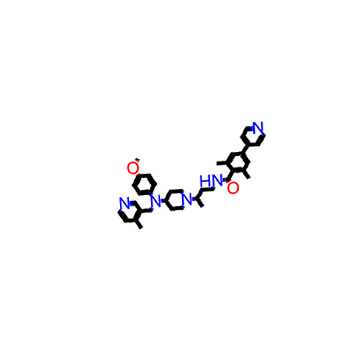 COc1ccc(N(Cc2cnccc2C)C2CCN(C(C)CCNC(=O)c3c(C)cc(-c4ccncc4)cc3C)CC2)cc1